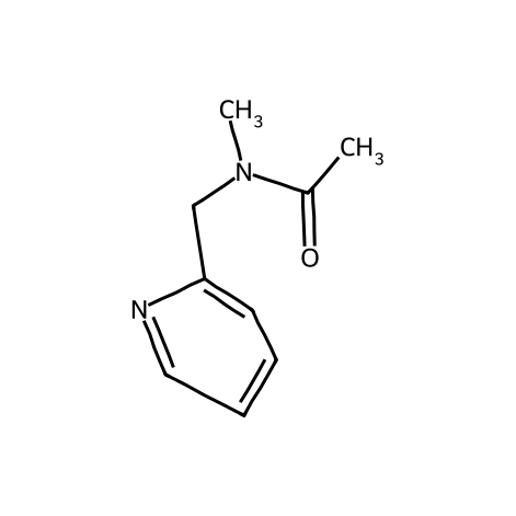 CC(=O)N(C)Cc1ccccn1